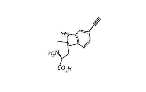 C#Cc1ccc2c(CC(N)C(=O)O)c(C)[nH]c2c1